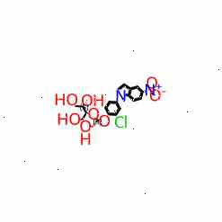 O=[N+]([O-])c1ccc2c(ccn2-c2ccc(O[C@H](CO)OC(CO)[C@@H](O)CO)c(Cl)c2)c1